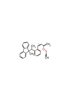 C#CCOC(=C)/C=C\c1ccccc1C(C)C1(C)c2ccccc2-c2ccccc21